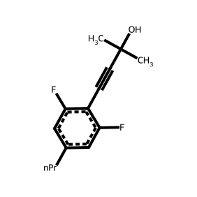 CCCc1cc(F)c(C#CC(C)(C)O)c(F)c1